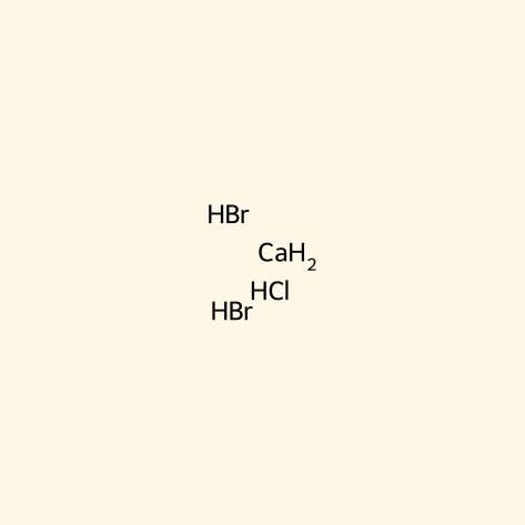 Br.Br.Cl.[CaH2]